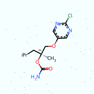 CC(C)C[C@@](C)(COc1cnc(Cl)nc1)OC(N)=O